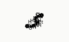 CCc1nc(Nc2ccc(C(=O)Nc3ccccc3)cn2)nc(Nc2ncc(C(=O)Nc3c(C)cccc3Cl)s2)n1